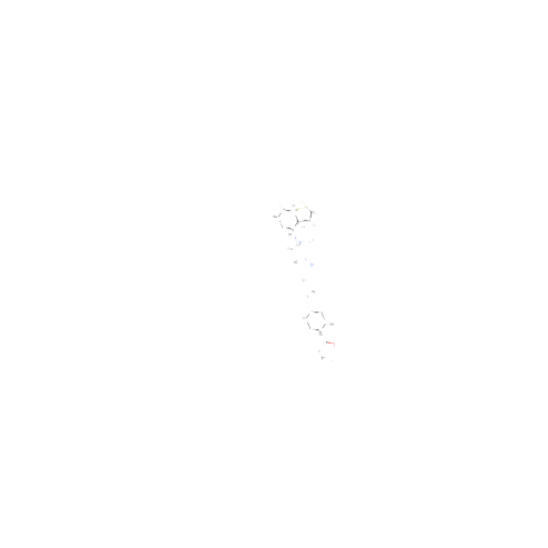 CCC(=O)c1ccc(OCCCN2CCN(c3cccc4sccc34)CC2)cc1